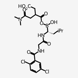 CC(C)C[C@H](NC(=O)CNC(=O)c1cc(Cl)ccc1Cl)B(O)OC(=O)C(CC(=O)O)CC(=O)N(C)C